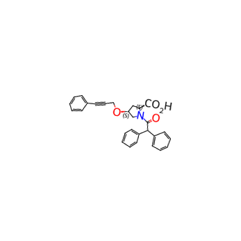 O=C(O)[C@@H]1C[C@H](OCC#Cc2ccccc2)CN1C(=O)C(c1ccccc1)c1ccccc1